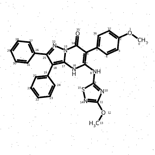 COc1ccc(-c2c(Nc3nc(OC)ns3)[nH]c3c(-c4ccccc4)c(-c4ccccc4)nn3c2=O)cc1